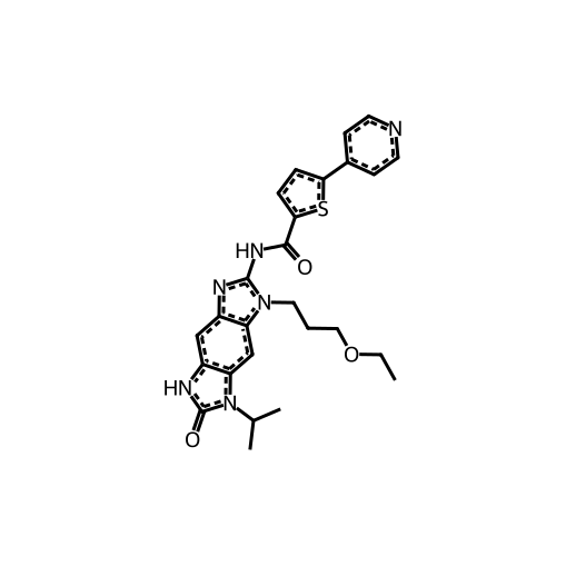 CCOCCCn1c(NC(=O)c2ccc(-c3ccncc3)s2)nc2cc3[nH]c(=O)n(C(C)C)c3cc21